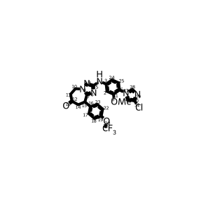 COc1cc(Nc2nc3n(n2)CCC(=O)CC3c2ccc(OC(F)(F)F)cc2)ccc1-n1cnc(Cl)c1